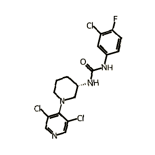 O=C(Nc1ccc(F)c(Cl)c1)N[C@H]1CCCN(c2c(Cl)cncc2Cl)C1